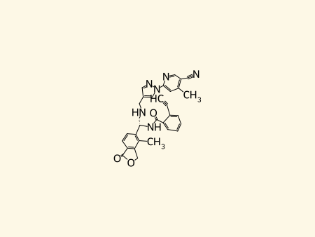 C#Cc1ccccc1C(=O)N[C@@H](CNCc1cnn(-c2cc(C)c(C#N)cn2)c1)c1ccc2c(c1C)COC2=O